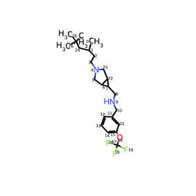 CC(CCN1CC2C(CNCc3cccc(OC(F)(F)F)c3)C2C1)CC(C)(C)C